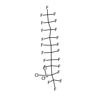 FC(F)(F)C(F)(F)C(F)(F)C(F)(F)C(F)(F)C(F)(F)C(F)(F)C(F)(F)C(F)(C(F)(F)F)[Si](Cl)(Cl)Cl